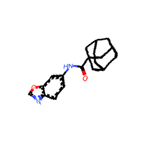 O=C(Nc1ccc2ncoc2c1)C12CC3CC(CC(C3)C1)C2